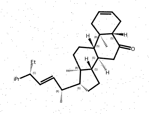 CC[C@H](C=C[C@@H](C)[C@H]1CC[C@H]2[C@@H]3CC(=O)[C@H]4CC=CC[C@]4(C)[C@H]3CC[C@]12C)C(C)C